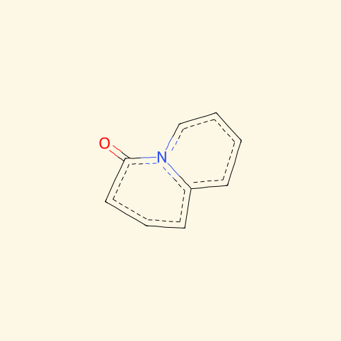 O=c1cccc2ccccn12